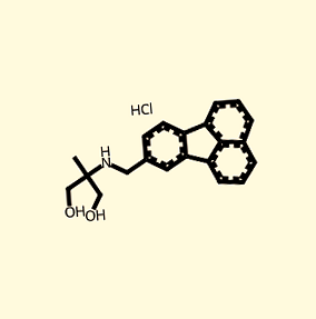 CC(CO)(CO)NCc1ccc2c(c1)-c1cccc3cccc-2c13.Cl